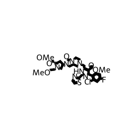 COCCN1C[C@@H](N2CC3CN(CC4=C(C(=O)OC)C(c5ccc(F)cc5Cl)N=C(c5nccs5)N4)CCN3C2=O)C[C@@H]1C(=O)OC